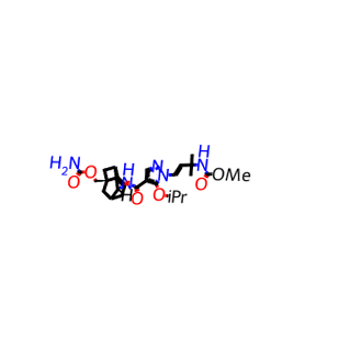 COC(=O)NC(C)(C)/C=C/n1ncc(C(=O)N[C@@H]2C3CC=C4C2C[C@@]4(COC(N)=O)C3)c1OC(C)C